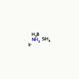 B.N.[Ir].[SiH4]